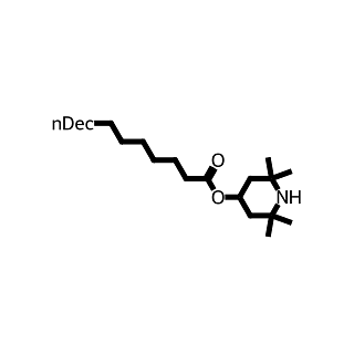 CCCCCCCCCCCCCCCCC(=O)OC1CC(C)(C)NC(C)(C)C1